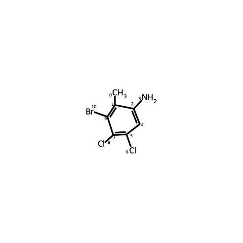 Cc1c(N)cc(Cl)c(Cl)c1Br